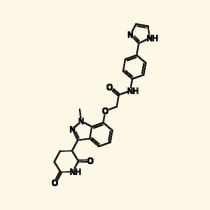 Cn1nc(C2CCC(=O)NC2=O)c2cccc(OCC(=O)Nc3ccc(-c4ncc[nH]4)cc3)c21